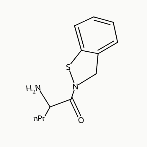 [CH2]CCC(N)C(=O)N1Cc2ccccc2S1